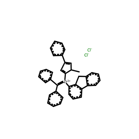 CC1C=C(c2ccccc2)C=[C]1[Zr+2](=[C](c1ccccc1)c1ccccc1)[c]1cccc2c1Cc1ccccc1-2.[Cl-].[Cl-]